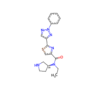 CCN(C(=O)c1csc(-c2cnn(-c3ccccc3)n2)n1)[C@H]1CCNC1